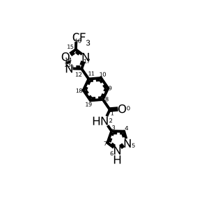 O=C(Nc1cn[nH]c1)c1ccc(-c2noc(C(F)(F)F)n2)cc1